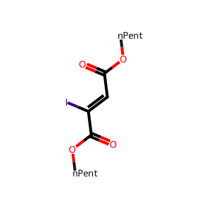 CCCCCOC(=O)/C=C(\I)C(=O)OCCCCC